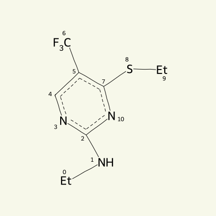 CCNc1ncc(C(F)(F)F)c(SCC)n1